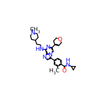 Cc1cc(-c2cnc3c(NCCC4CCN(C)CC4)nc(C4=CCOCC4)cn23)ccc1C(=O)NC1CC1